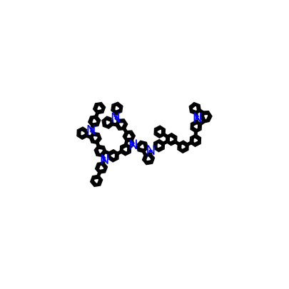 c1ccc(-c2ccc(-n3c4ccccc4c4cc(-c5ccc6c(c5)c5cc(-c7ccc8c(c7)c7cc(-c9ccc%10c(c9)c9ccccc9n%10-c9ccccc9)ccc7n8-c7ccc8c(c7)c7ccccc7n8-c7ccc(-c8cc(-c9cccc(-c%10cccc(-c%11ccc%12c(c%11)c%11cccc%13c%14ccccc%14n%12c%13%11)c%10)c9)ccc8-c8ccccc8)cc7)ccc5n6-c5ccc(-c6ccccc6)cc5)ccc43)cc2)cc1